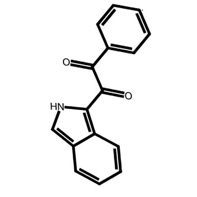 O=C(C(=O)c1[nH]cc2ccccc12)c1cc[c]cc1